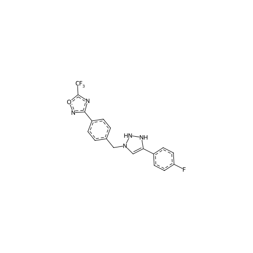 Fc1ccc(C2=CN(Cc3ccc(-c4noc(C(F)(F)F)n4)cc3)NN2)cc1